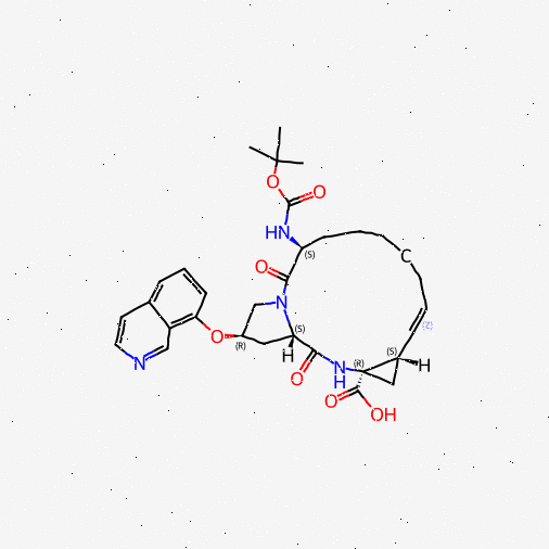 CC(C)(C)OC(=O)N[C@H]1CCCCC/C=C\[C@@H]2C[C@@]2(C(=O)O)NC(=O)[C@@H]2C[C@@H](Oc3cccc4ccncc34)CN2C1=O